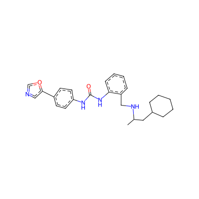 CC(CC1CCCCC1)NCc1ccccc1NC(=O)Nc1ccc(-c2cnco2)cc1